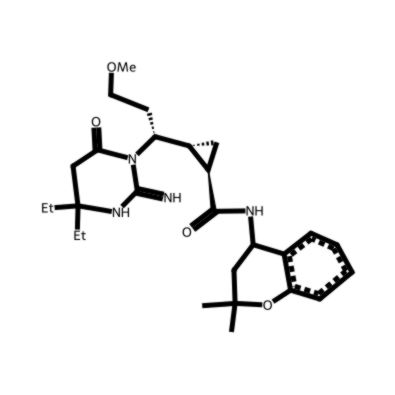 CCC1(CC)CC(=O)N([C@H](CCOC)[C@@H]2C[C@H]2C(=O)NC2CC(C)(C)Oc3ccccc32)C(=N)N1